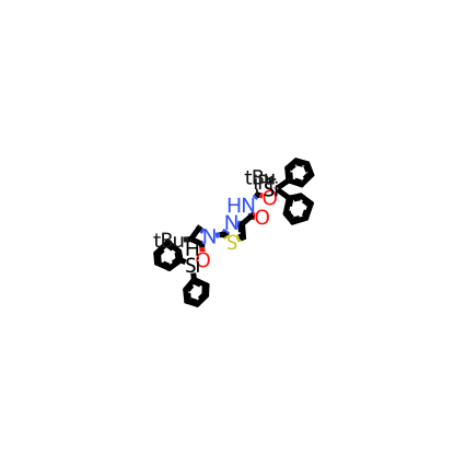 CC(C)[C@@H](NC(=O)c1csc(N2CC(C(C)(C)C)C2O[SiH](c2ccccc2)c2ccccc2)n1)O[Si](c1ccccc1)(c1ccccc1)C(C)(C)C